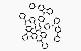 O=C(c1ccccc1)c1cccc(-c2c(-c3ccc(-n4c5ccccc5c5ccc(-c6ccccc6)cc54)cc3)c(-c3ccc(-n4c5ccccc5c5ccc(-c6ccccc6)cc54)cc3)c(-c3cccc(C(=O)c4ccccc4)c3)c3c4cccc5c6ccccc6c6cccc(c23)c6c54)c1